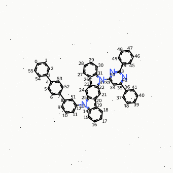 c1ccc(-c2ccc(-c3cccc(-n4c5ccccc5c5cc6c(cc54)c4ccccc4n6-c4cc(-c5ccccc5)nc(-c5ccccc5)n4)c3)cc2)cc1